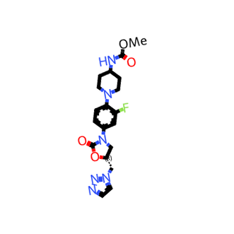 COC(=O)NC1CCN(c2ccc(N3C[C@H](Cn4ccnn4)OC3=O)cc2F)CC1